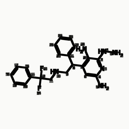 NNc1nc(N)cc(C(CNCC(F)(F)c2ccccc2)c2ccccc2)c1N